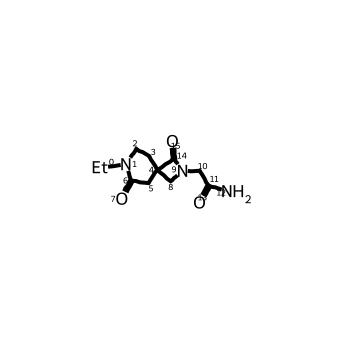 CCN1CCC2(CC1=O)CN(CC(N)=O)C2=O